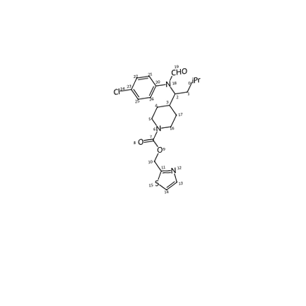 CC(C)CC(C1CCN(C(=O)OCc2nccs2)CC1)N(C=O)c1ccc(Cl)cc1